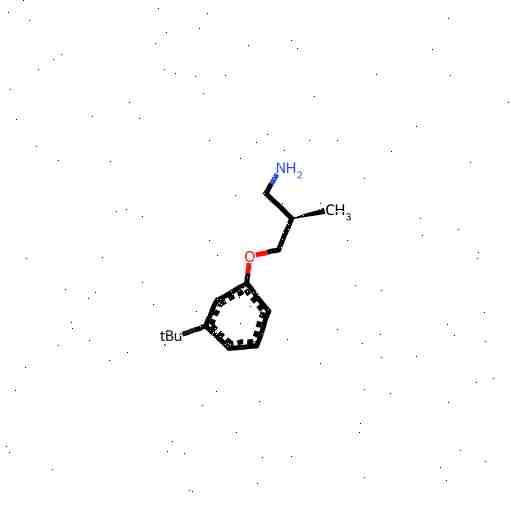 C[C@H](CN)COc1cccc(C(C)(C)C)c1